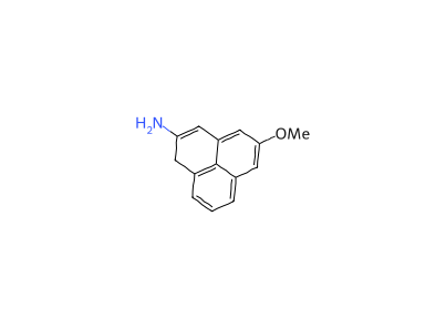 COc1cc2c3c(cccc3c1)CC(N)=C2